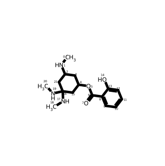 CNC1CC(OC(=O)c2ccccc2O)CC(NC)(NC)C1